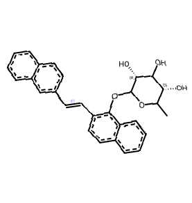 CC1OC(Oc2c(/C=C/c3ccc4ccccc4c3)ccc3ccccc23)[C@H](O)C(O)[C@@H]1O